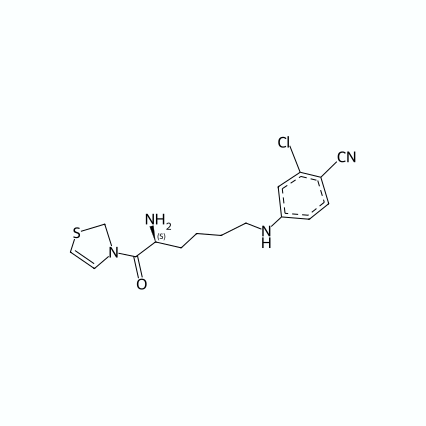 N#Cc1ccc(NCCCC[C@H](N)C(=O)N2C=CSC2)cc1Cl